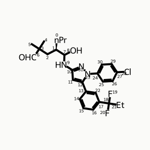 CCC[C@H](CC(C)(C)C=O)C(O)Nc1cc(-c2cccc(C(F)(F)CC)c2)n(-c2ccc(Cl)cc2)n1